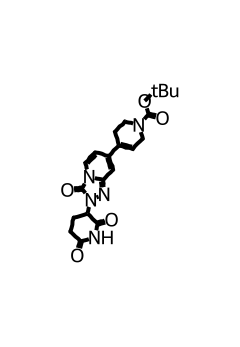 CC(C)(C)OC(=O)N1CC=C(c2ccn3c(=O)n(C4CCC(=O)NC4=O)nc3c2)CC1